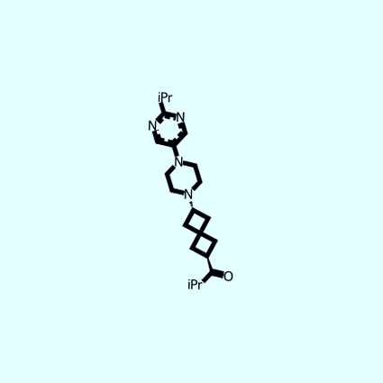 CC(C)c1ncc(N2CCN([C@H]3CC4(C[C@H](C(=O)C(C)C)C4)C3)CC2)cn1